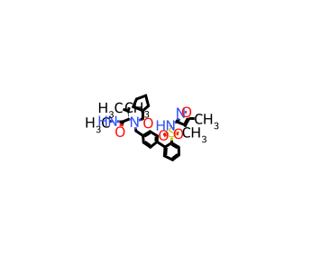 CNC(=O)[C@H](C(C)C)N(Cc1ccc(-c2ccccc2S(=O)(=O)Nc2noc(C)c2C)cc1)C(=O)C1CCCC1